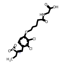 CC/C(=C/c1ccc(OCCCCC(=O)NCC(=O)O)c(Cl)c1Cl)[N+](=O)[O-]